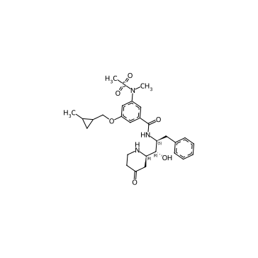 CC1CC1COc1cc(C(=O)N[C@@H](Cc2ccccc2)[C@H](O)[C@H]2CC(=O)CCN2)cc(N(C)S(C)(=O)=O)c1